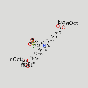 CCCCCCCCC(CC)OC(=O)CCCCCCCN(CCCCCCCC(=O)OC(CCCCCCCC)CCCCCCCC)CCCS(=O)(=O)Cl